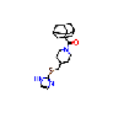 O=C(N1CCC(CSc2ncc[nH]2)CC1)C12CC3CC(CC(C3)C1)C2